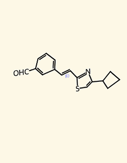 O=Cc1cccc(/C=C/c2nc(C3CCC3)cs2)c1